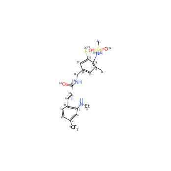 CCNc1cc(C(F)(F)F)ccc1/C=C/C(=O)NCc1cc(C)c(NS(C)(=O)=O)c(F)c1